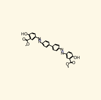 COC(=O)c1cc(/N=N/c2ccc(-c3ccc(/N=N/c4ccc(O)c(C(=O)OC)c4)cc3)cc2)ccc1O